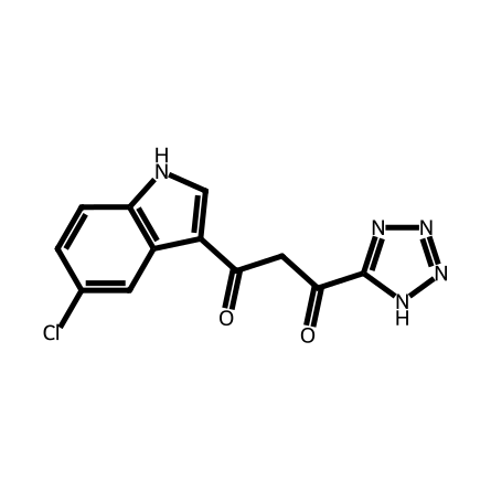 O=C(CC(=O)c1c[nH]c2ccc(Cl)cc12)c1nnn[nH]1